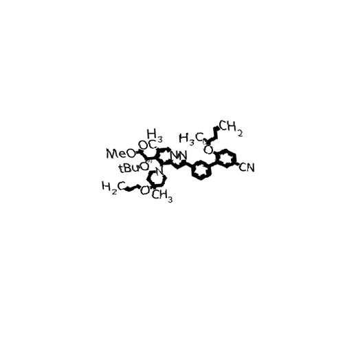 C=CCOC1(C)CCN(c2c([C@H](OC(C)(C)C)C(=O)OC)c(C)cn3nc(-c4cccc(-c5cc(C#N)ccc5O[C@@H](C)CC=C)c4)cc23)CC1